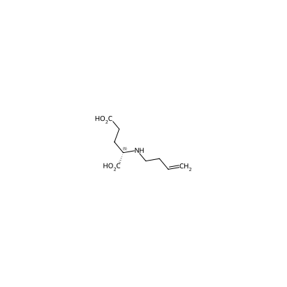 C=CCCN[C@@H](CCC(=O)O)C(=O)O